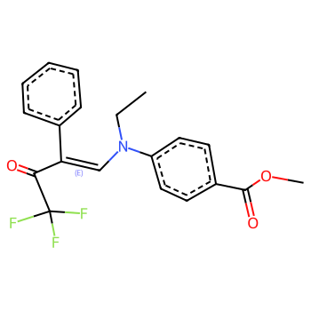 CCN(/C=C(/C(=O)C(F)(F)F)c1ccccc1)c1ccc(C(=O)OC)cc1